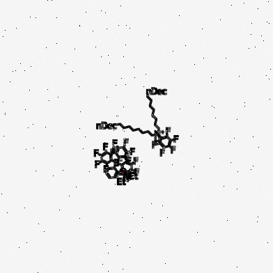 CCCCCCCCCCCCCCCCCC[NH+](CCCCCCCCCCCCCCCCCC)c1c(F)c(F)c(F)c(F)c1F.C[CH2][Al]([CH2]C)[O]c1ccccc1[B-](c1c(F)c(F)c(F)c(F)c1F)(c1c(F)c(F)c(F)c(F)c1F)c1c(F)c(F)c(F)c(F)c1F